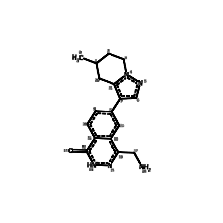 CC1CCn2ncc(-c3ccc4c(=O)[nH]nc(CN)c4c3)c2C1